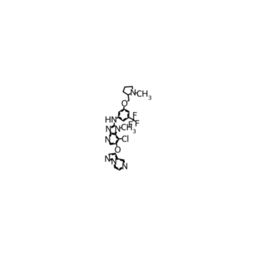 CN1CCCC1COc1cc(Nc2nc3ncc(Oc4cnn5ccncc45)c(Cl)c3n2C)cc(C(F)(F)F)c1